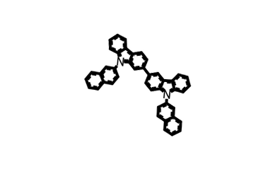 c1ccc2cc(-n3c4ccccc4c4cc(-c5ccc6c7ccccc7n(-c7ccc8ccccc8c7)c6c5)ccc43)ccc2c1